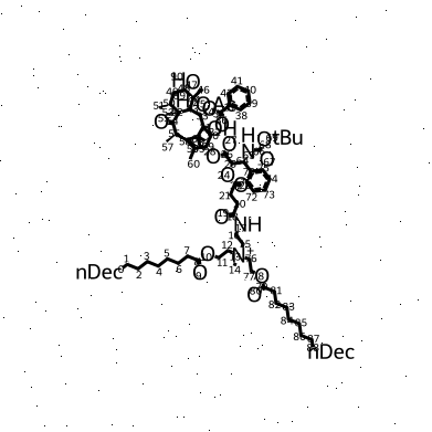 CCCCCCCCCCCCCCCCCC(=O)OCC[N+](C)(CCNC(=O)CCC(=O)O[C@@H](C(=O)O[C@H]1C[C@@]2(O)[C@@H](OC(=O)c3ccccc3)[C@@H]3[C@]4(OC(C)=O)CO[C@@H]4C[C@H](C)[C@@]3(C)C(=O)[C@H](C)C(=C1C)C2(C)C)[C@@H](NC(=O)OC(C)(C)C)c1ccccc1)CCOC(=O)CCCCCCCCCCCCCCCCC